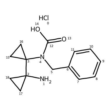 Cl.NC1(C2(N(Cc3ccccc3)C(=O)O)CC2)CC1